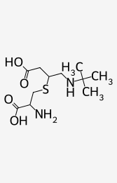 CC(C)(C)NCC(CC(=O)O)SCC(N)C(=O)O